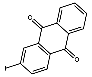 O=C1c2ccccc2C(=O)c2cc(I)ccc21